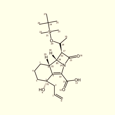 C=CC[C@@]1(O)CCC[C@H]2C1=C(C(=O)O)N1C(=O)[C@H](C(C)O[Si](C)(C)C(C)(C)C)[C@@H]21